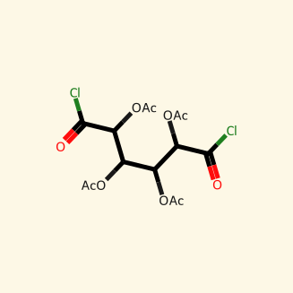 CC(=O)OC(C(=O)Cl)C(OC(C)=O)C(OC(C)=O)C(OC(C)=O)C(=O)Cl